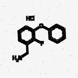 Cl.NCc1cccc(Oc2ccccc2)c1F